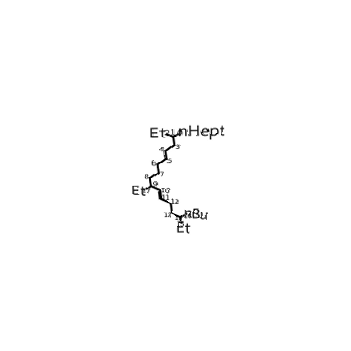 [CH2]CCCCCCC(CC)CCCCCCC(C=CCCC(CC)CCC[CH2])CC